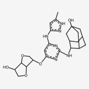 Cc1cc(Nc2cc(OC3COC4C(O)COC34)nc(NC3C4CC5CC3CC(O)(C5)C4)n2)n[nH]1